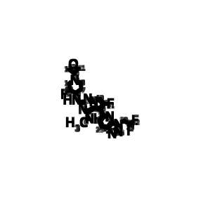 CNc1nc(N[C@H]2CCN(C3COC3)C[C@H]2F)nn2cc(F)c(-c3ccc4nnn(CC(F)F)c4n3)c12